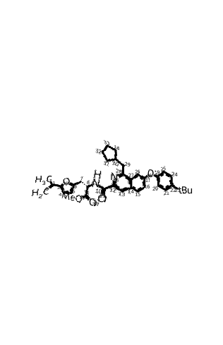 C=C(C)c1ccc(C[C@H](NC(=O)c2cc3ccc(Oc4ccc(C(C)(C)C)cc4)cc3c(CC3CCCC3)n2)C(=O)OC)o1